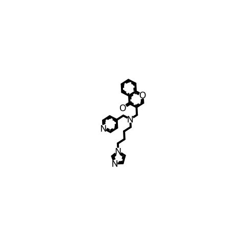 O=c1c(CN(CCCCn2ccnc2)Cc2ccncc2)coc2ccccc12